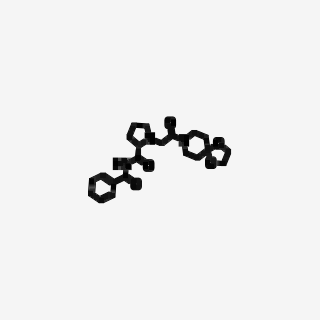 O=C(NC(=O)[C@H]1CCCN1CC(=O)N1CCC2(CC1)OCCO2)c1ccccc1